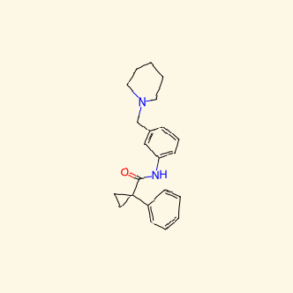 O=C(Nc1cccc(CN2CCCCC2)c1)C1(c2ccccc2)CC1